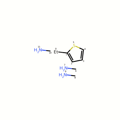 CCc1cccs1.CN.CN.CN